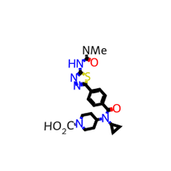 CNC(=O)Nc1nnc(-c2ccc(C(=O)N(C3CC3)C3CCN(C(=O)O)CC3)cc2)s1